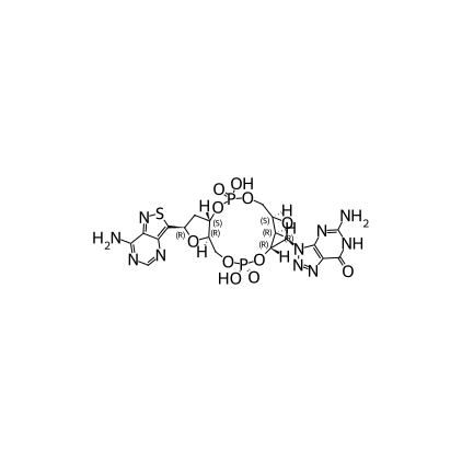 C[C@H]1[C@H]2OP(=O)(O)OC[C@H]3O[C@@H](c4snc5c(N)ncnc45)C[C@@H]3OP(=O)(O)OC[C@H]1O[C@H]2n1nnc2c(=O)[nH]c(N)nc21